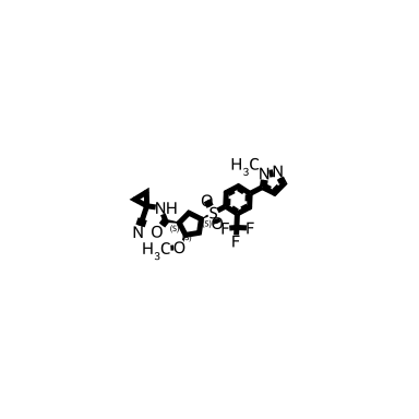 CO[C@H]1C[C@@H](S(=O)(=O)c2ccc(-c3ccnn3C)cc2C(F)(F)F)C[C@@H]1C(=O)NC1(C#N)CC1